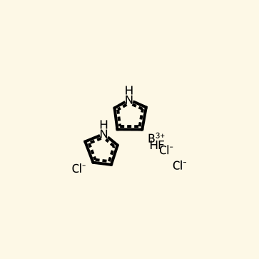 F.[B+3].[Cl-].[Cl-].[Cl-].c1cc[nH]c1.c1cc[nH]c1